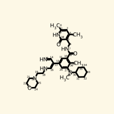 Cc1cc(C)c(CNC(=O)c2cc(/C(C=N)=C/NCCN3CCOCC3)cc(N(C)C3CCCCC3)c2C)c(=O)[nH]1